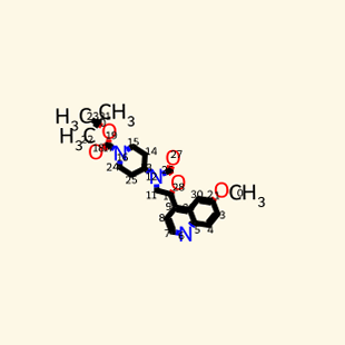 COc1ccc2nccc(C3CN(C4CCN(C(=O)OC(C)(C)C)CC4)C(=O)O3)c2c1